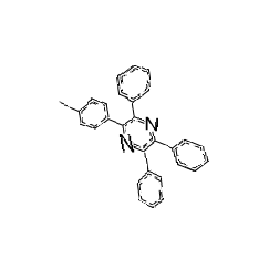 Cc1ccc(-c2nc(-c3ccccc3)c(-c3ccccc3)nc2-c2ccccc2)cc1